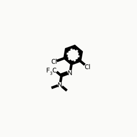 CN(C)C(=Nc1c(Cl)cccc1Cl)C(F)(F)F